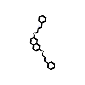 C(=C\c1ccccc1)/COc1ccc2ccc(OC/C=C/c3ccccc3)cc2c1